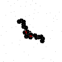 CC1(C)c2cc(-c3ccc4c(c3)Oc3cc(-c5ccc6c(c5)C(C)(C)c5cc7c(cc5-6)C(C)(C)c5ccc6ccccc6c5-7)ccc3N4c3c(-c4ccccc4)cccc3-c3ccccc3)ccc2-c2cc3c(cc21)-c1c(ccc2ccccc12)C3(C)C